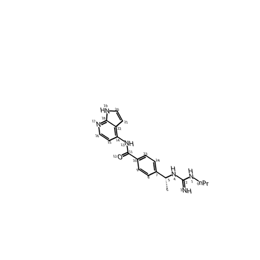 CCCNC(=N)N[C@H](C)c1ccc(C(=O)Nc2ccnc3[nH]ccc23)cc1